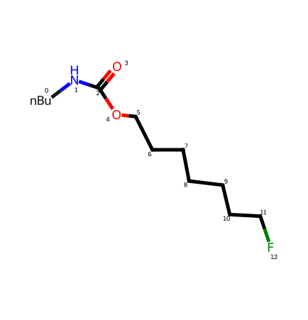 CCCCNC(=O)OCCCCCCCF